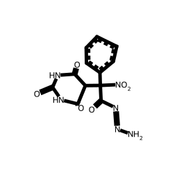 N/N=N/C(=O)C(c1ccccc1)(C1C(=O)NC(=O)NC1=O)[N+](=O)[O-]